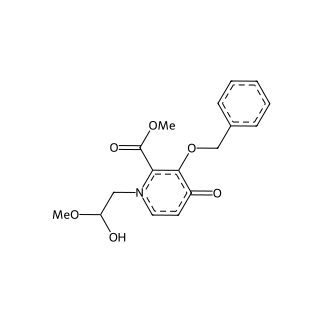 COC(=O)c1c(OCc2ccccc2)c(=O)ccn1CC(O)OC